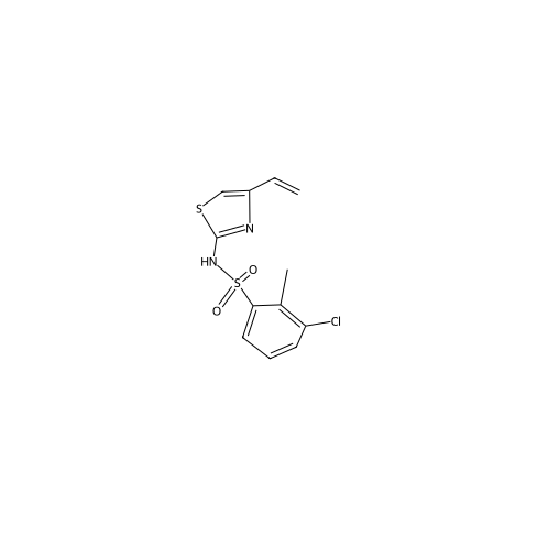 C=Cc1csc(NS(=O)(=O)c2cccc(Cl)c2C)n1